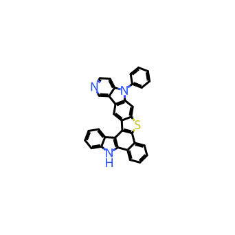 c1ccc(-n2c3ccncc3c3cc4c(cc32)sc2c3ccccc3c3[nH]c5ccccc5c3c42)cc1